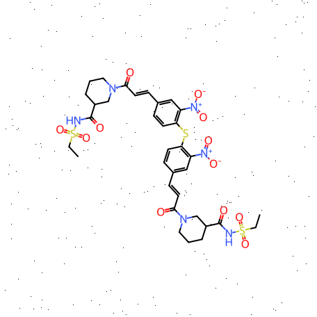 CCS(=O)(=O)NC(=O)C1CCCN(C(=O)/C=C/c2ccc(Sc3ccc(/C=C/C(=O)N4CCCC(C(=O)NS(=O)(=O)CC)C4)cc3[N+](=O)[O-])c([N+](=O)[O-])c2)C1